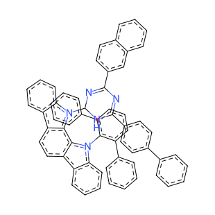 c1ccc(-c2ccc(C3=NC(c4ccc5ccccc5c4)=NC(n4c5ccccc5c5ccc6c7ccccc7n(-c7c(-c8ccccc8)cccc7-c7ccccc7)c6c54)N3)cc2)cc1